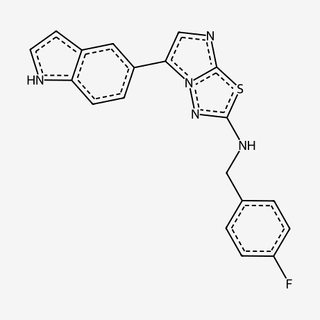 Fc1ccc(CNc2nn3c(-c4ccc5[nH]ccc5c4)cnc3s2)cc1